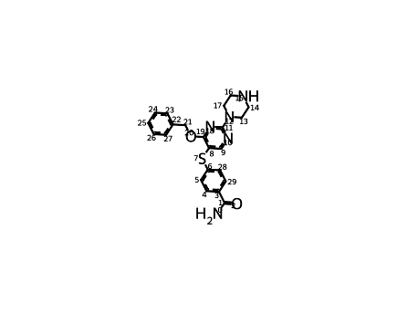 NC(=O)c1ccc(Sc2cnc(N3CCNCC3)nc2OCc2ccccc2)cc1